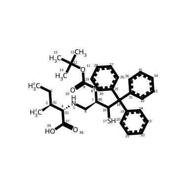 CC[C@H](C)[C@H](NC[C@@H](NC(=O)OC(C)(C)C)C(S)C(c1ccccc1)(c1ccccc1)c1ccccc1)C(=O)O